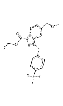 CCOC(=O)c1nn(Cc2ccc(C(F)(F)F)cc2)c2cc(COC)ccc12